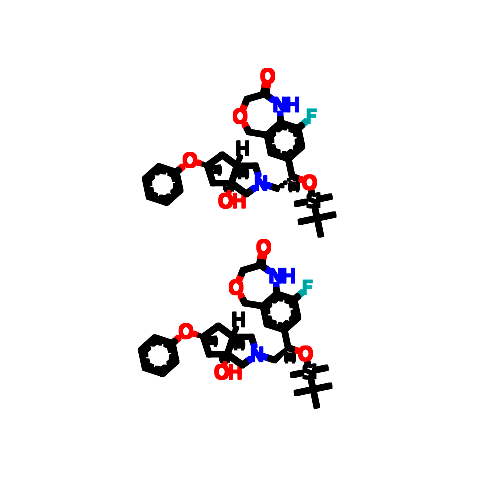 CC(C)(C)[Si](C)(C)O[C@@H](CN1C[C@H]2C[C@H](Oc3ccccc3)C[C@@]2(O)C1)c1cc(F)c2c(c1)COCC(=O)N2.CC(C)(C)[Si](C)(C)O[C@H](CN1C[C@H]2C[C@H](Oc3ccccc3)C[C@@]2(O)C1)c1cc(F)c2c(c1)COCC(=O)N2